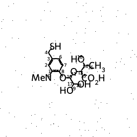 CNc1cc(CS)ccc1OC(OC(C(=O)O)[C@H](C)O)C(O)O